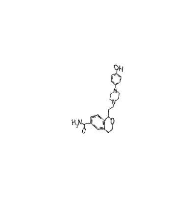 NC(=O)c1ccc2c(c1)CCOC2CCN1CCN(c2ccc(O)cc2)CC1